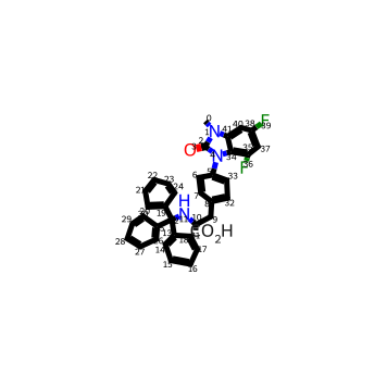 Cn1c(=O)n(-c2ccc(CC(NC(c3ccccc3)(c3ccccc3)c3ccccc3)C(=O)O)cc2)c2c(F)cc(F)cc21